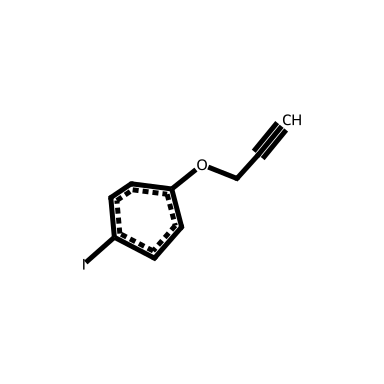 C#CCOc1ccc(I)cc1